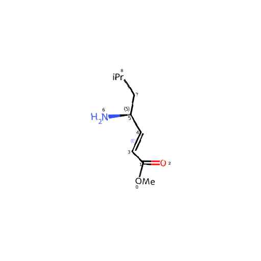 COC(=O)/C=C/[C@@H](N)CC(C)C